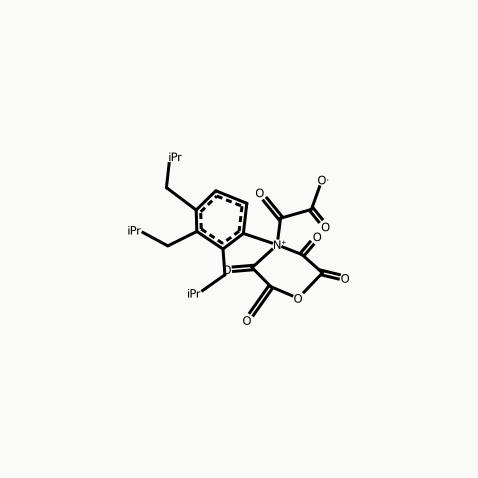 CC(C)Cc1ccc([N+]2(C(=O)C([O])=O)C(=O)C(=O)OC(=O)C2=O)c(CC(C)C)c1CC(C)C